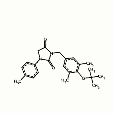 Cc1ccc(N2CC(=O)N(Cc3cc(C)c(OC(C)(C)C)c(C)c3)C2=O)cc1